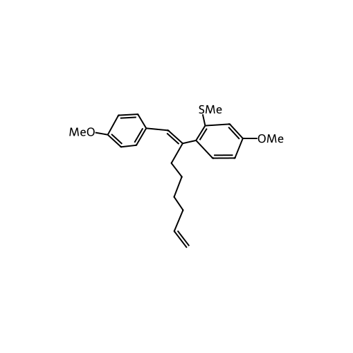 C=CCCCC/C(=C\c1ccc(OC)cc1)c1ccc(OC)cc1SC